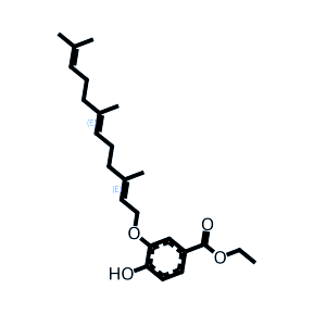 CCOC(=O)c1ccc(O)c(OC/C=C(\C)CC/C=C(\C)CCC=C(C)C)c1